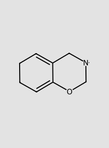 C1=C2C[N]COC2=CCC1